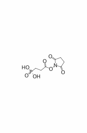 O=C(CCP(=O)(O)O)ON1C(=O)CCC1=O